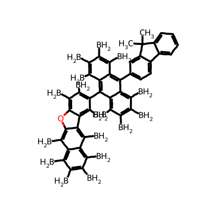 Bc1c(-c2c3c(B)c(B)c(B)c(B)c3c(-c3ccc4c(c3)C(C)(C)c3ccccc3-4)c3c(B)c(B)c(B)c(B)c23)c(B)c2c(oc3c(B)c4c(B)c(B)c(B)c(B)c4c(B)c32)c1B